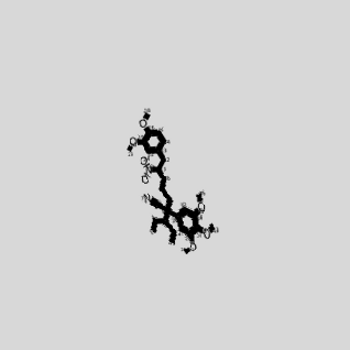 CCC(CC)C(C#N)(CCCC(Cc1ccc(OC)c(OC)c1)[N+](=O)[O-])c1cc(OC)c(OC)c(OC)c1